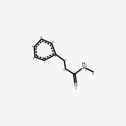 C[SiH2]C(=O)CCc1ccccc1